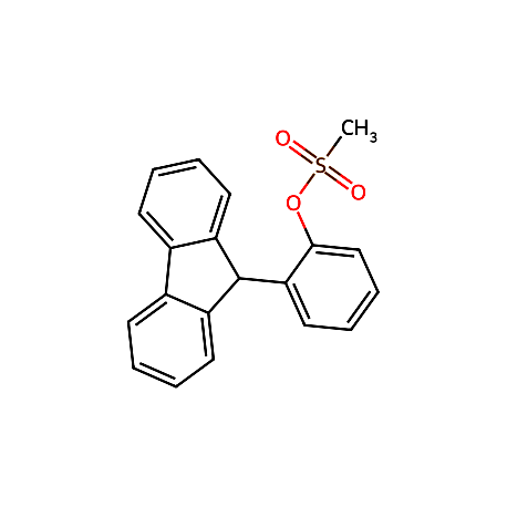 CS(=O)(=O)Oc1ccccc1C1c2ccccc2-c2ccccc21